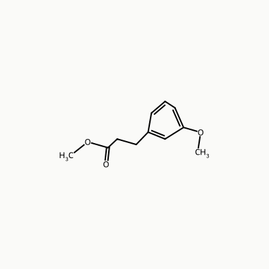 COC(=O)CCc1cccc(OC)c1